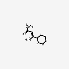 COC(=O)/C=C(\N)C1CCCCC1